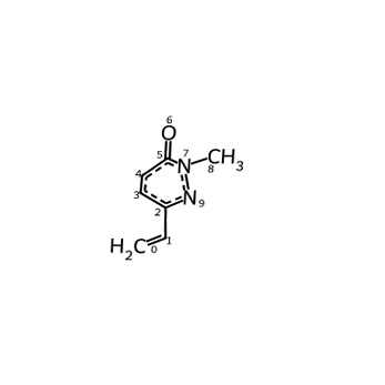 C=Cc1ccc(=O)n(C)n1